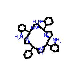 Nc1ccccc1-c1c2nc(c(-c3ccccc3N)c3ccc([nH]3)c(-c3ccccc3N)c3nc(c(-c4ccccc4)c4ccc1[nH]4)C=C3)C=C2